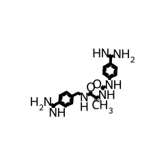 C[C@H](NC(=O)Nc1ccc(C(=N)N)cc1)C(=O)NCc1ccc(C(=N)N)cc1